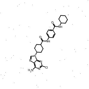 Nc1nc(Cl)nc2c1ncn2C1CCC(C(=O)Nc2ccc(C(=O)NC3CCCCC3)cc2)CC1